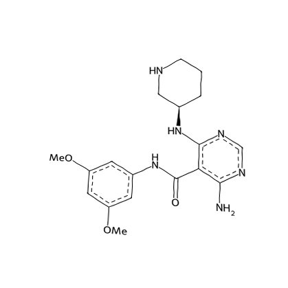 COc1cc(NC(=O)c2c(N)ncnc2N[C@@H]2CCCNC2)cc(OC)c1